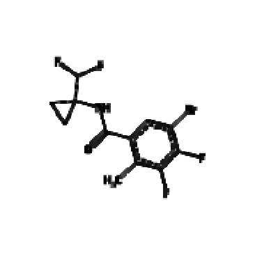 Cc1c(C(=O)NC2(C(F)F)CC2)cc(Br)c(F)c1F